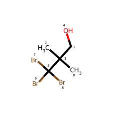 CC(C)(CO)C(Br)(Br)Br